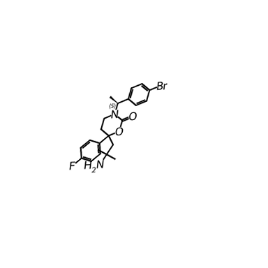 C[C@@H](c1ccc(Br)cc1)N1CCC(CC(C)(C)N)(c2ccc(F)cc2)OC1=O